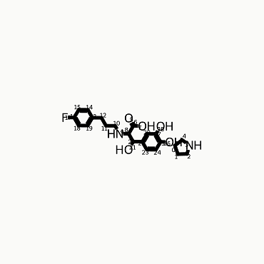 C1CCNC1.O=C(O)C(NCCCc1ccc(F)cc1)C(O)c1ccc(O)c(O)c1